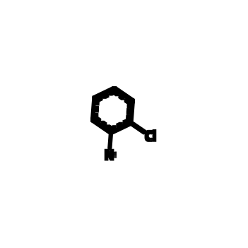 [N]c1ccccc1Cl